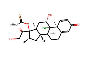 CCCCCCCC(=S)O[C@]1(C(=O)CO)[C@H](C)C[C@H]2[C@@H]3CCC4=CC(=O)C=C[C@]4(C)[C@@]3(F)[C@@H](O)C[C@@]21C